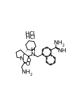 Cl.Cl.N=C(N)c1ccc(CNC(=O)[C@]2(C3CCCCC3)CCCN2C(=O)CN)c2ccccc12